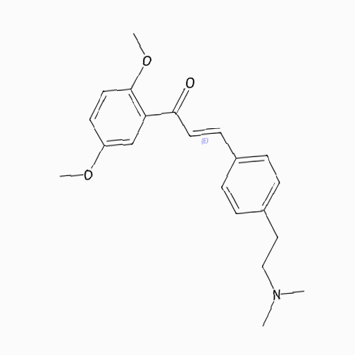 COc1ccc(OC)c(C(=O)/C=C/c2ccc(CCN(C)C)cc2)c1